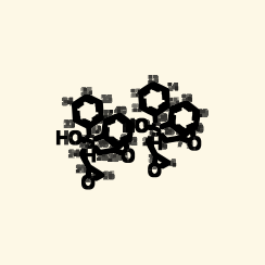 O[SH](CC1CO1)(CC1CO1)(c1ccccc1)c1ccccc1.O[SH](CC1CO1)(CC1CO1)(c1ccccc1)c1ccccc1